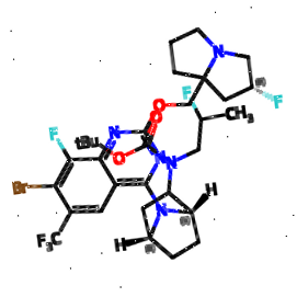 CC(F)CN(C(=O)OC(C)(C)C)C1C[C@H]2CC[C@@H]1N2c1nc(OCC23CCCN2C[C@H](F)C3)nc2c(F)c(Br)c(C(F)(F)F)cc12